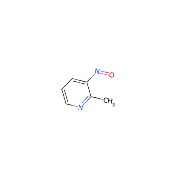 Cc1ncccc1N=O